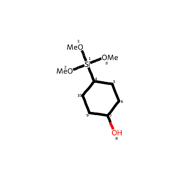 CO[Si](OC)(OC)C1CCC(O)CC1